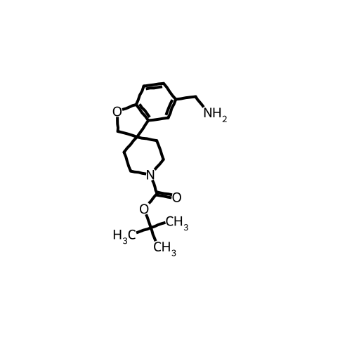 CC(C)(C)OC(=O)N1CCC2(CC1)COc1ccc(CN)cc12